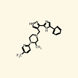 CC1CN(Cc2c[nH]nc2-c2ncc(-c3ccccc3)[nH]2)CCN1c1ccc(C(F)(F)F)cn1